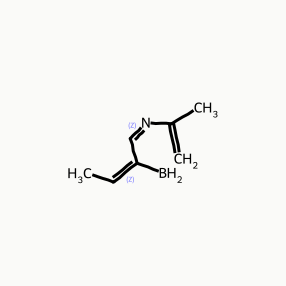 BC(/C=N\C(=C)C)=C/C